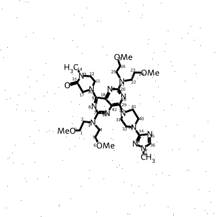 COCCN(CCOC)c1nc(N2CCN(C)C(=O)C2)c2nc(N(CCOC)CCOC)nc(N3CCN(c4ncn(C)n4)CC3)c2n1